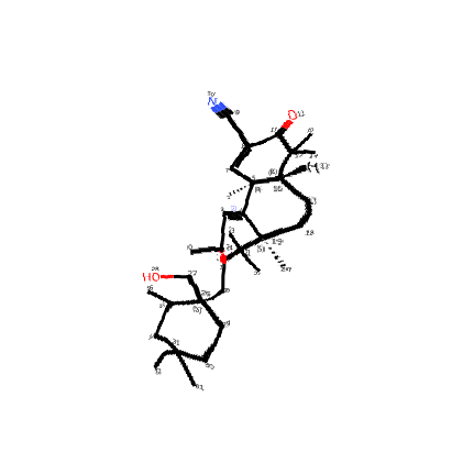 CC(=O)/C=C1/[C@@]2(C)C=C(C#N)C(=O)C(C)(C)[C@@H]2CC[C@@]1(C)C(C)(C)CC[C@@]1(CO)CCC(C)(C)CC1C